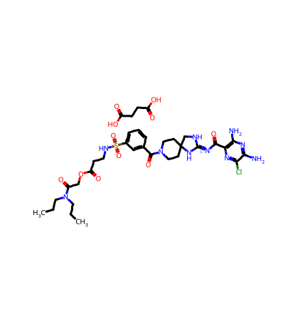 CCCN(CCC)C(=O)COC(=O)CCNS(=O)(=O)c1cccc(C(=O)N2CCC3(CC2)CN/C(=N\C(=O)c2nc(Cl)c(N)nc2N)N3)c1.O=C(O)CCC(=O)O